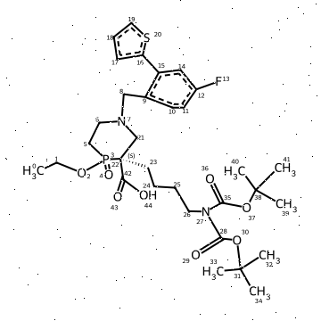 CCOP1(=O)CCN(Cc2ccc(F)cc2-c2cccs2)C[C@@]1(CCCCN(C(=O)OC(C)(C)C)C(=O)OC(C)(C)C)C(=O)O